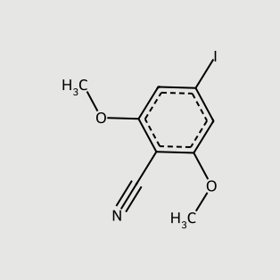 COc1cc(I)cc(OC)c1C#N